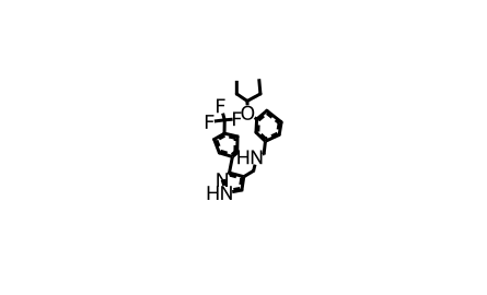 CCC(CC)Oc1cccc(CNCc2c[nH]nc2-c2ccc(C(F)(F)F)cc2)c1